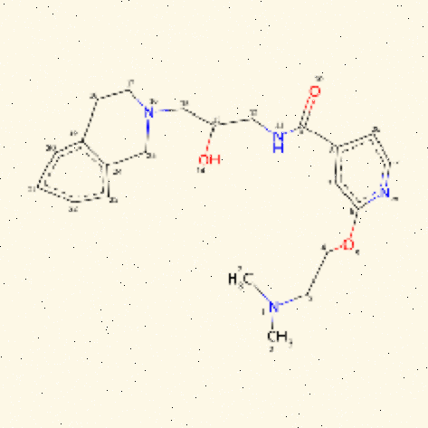 CN(C)CCOc1cc(C(=O)NCC(O)CN2CCc3ccccc3C2)ccn1